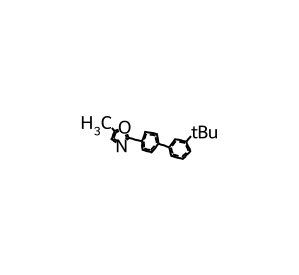 Cc1cnc(-c2ccc(-c3cccc(C(C)(C)C)c3)cc2)o1